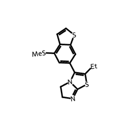 CCC1=C(c2cc(SC)c3ccsc3c2)N2CCN=C2S1